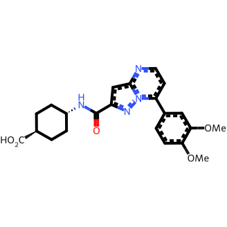 COc1ccc(-c2ccnc3cc(C(=O)N[C@H]4CC[C@H](C(=O)O)CC4)nn23)cc1OC